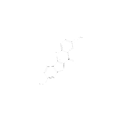 COc1ccc2c(c1)oc1c(=O)c3cc(OC)ccc3oc12